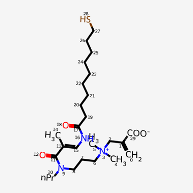 C=C(C[N+](C)(C)CCCN(CCC)C(=O)C(C)=CNC(=O)CCCCCCCCCS)C(=O)[O-]